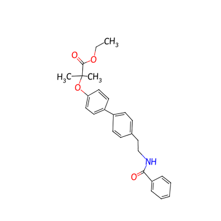 CCOC(=O)C(C)(C)Oc1ccc(-c2ccc(CCNC(=O)c3ccccc3)cc2)cc1